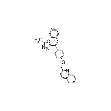 FC(F)(F)c1nnc(C(=Cc2ccncc2)c2ccc(OCc3ccc4ccccc4n3)cc2)o1